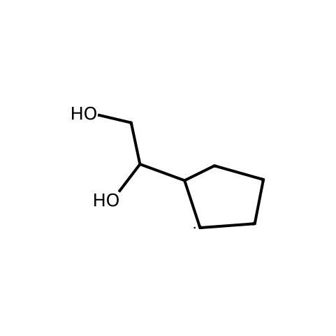 OCC(O)C1[CH]CCC1